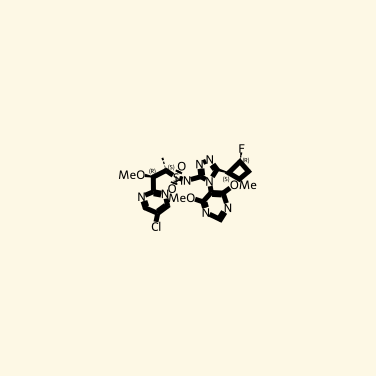 COc1ncnc(OC)c1-n1c(NS(=O)(=O)[C@@H](C)[C@H](OC)c2ncc(Cl)cn2)nnc1[C@@H]1CC[C@H]1F